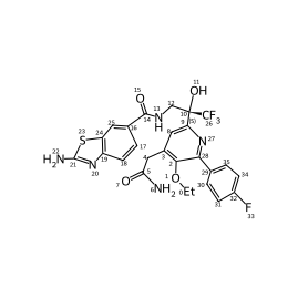 CCOc1c(CC(N)=O)cc([C@@](O)(CNC(=O)c2ccc3nc(N)sc3c2)C(F)(F)F)nc1-c1ccc(F)cc1